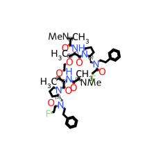 CN[C@@H](C)C(=O)N[C@H](C(=O)N1CCC[C@H]1CN(CCc1ccccc1)C(=O)CF)[C@@H](C)OCCO[C@H](C)[C@H](NC(=O)[C@H](C)NC)C(=O)N1CCC[C@H]1CN(CCc1ccccc1)C(=O)CF